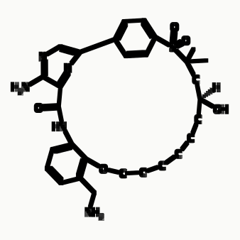 CC1(C)C[C@@H](O)CCCCCCOc2c(CN)cccc2NC(=O)c2nc(cnc2N)-c2ccc(cc2)S1(=O)=O